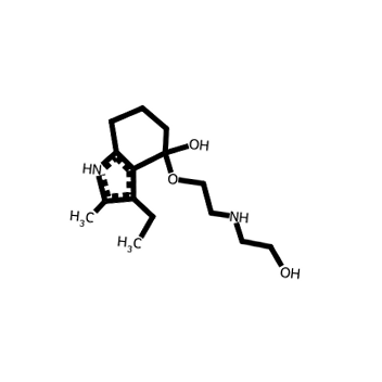 CCc1c(C)[nH]c2c1C(O)(OCCNCCO)CCC2